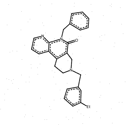 CCc1cccc(CN2CCc3c(c(=O)n(Cc4ccccc4)c4ncccc34)C2)c1